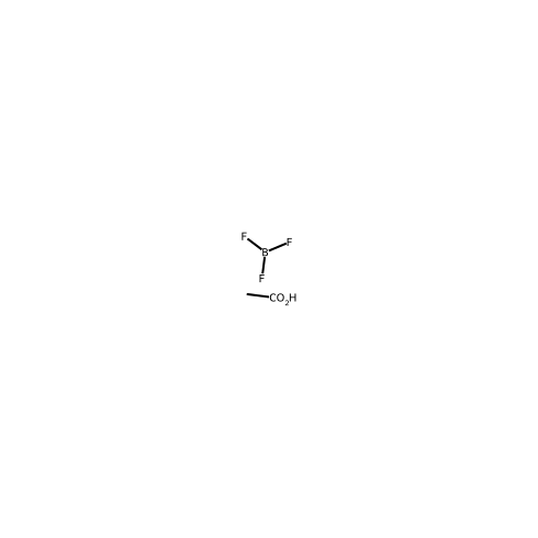 CC(=O)O.FB(F)F